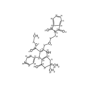 CCOC(=O)C1=C(COCCN2C(=O)c3ccccc3C2=O)NC2=C(C(=O)CC(C)(C)C2)C1c1ccncc1